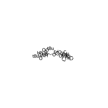 CCOC(=O)CN(Cc1ccccn1)S(=O)(=O)c1ccccc1S(=O)(=O)Oc1cc(C)cc(OCCCON(C(=N)NC(=O)OC(C)(C)C)C(=O)OC(C)(C)C)c1